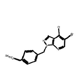 COc1ccc(Cn2ncc3c(Cl)c(Br)cnc32)cc1